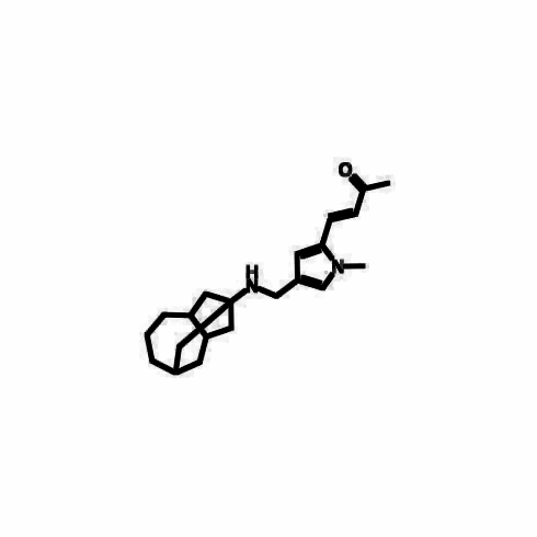 CC(=O)/C=C/c1cc(CNC23CC4CCCC(C2)C(C4)C3)cn1C